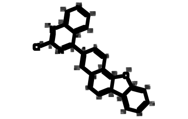 Clc1nc(-c2ccc3c(ccc4c5ccccc5oc34)c2)c2ccccc2n1